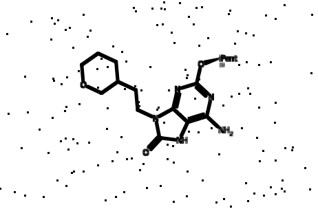 CCC[C@H](C)Oc1nc(N)c2[nH]c(=O)n(CCC3CCCOC3)c2n1